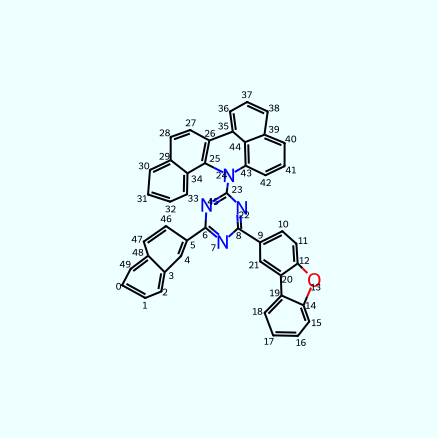 c1ccc2cc(-c3nc(-c4ccc5oc6ccccc6c5c4)nc(N4c5c(ccc6ccccc56)-c5cccc6cccc4c56)n3)ccc2c1